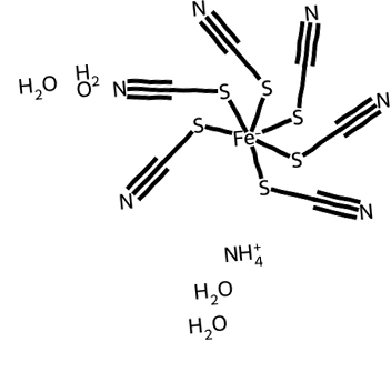 N#C[S][Fe-]([S]C#N)([S]C#N)([S]C#N)([S]C#N)[S]C#N.O.O.O.O.[NH4+]